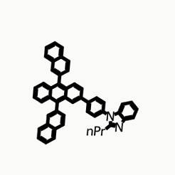 CCCc1nc2ccccc2n1-c1ccc(-c2ccc3c(-c4ccc5ccccc5c4)c4ccccc4c(-c4ccc5ccccc5c4)c3c2)cc1